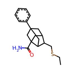 CCSCC1C2CC3(c4ccccc4)CC1C(C(N)=O)(C2)C3